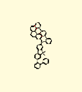 CC1(C)c2cc(-c3ccccc3-c3ccccc3)ccc2-c2ccc(N(c3ccc4c(ccc5ccccc54)c3)c3ccccc3-c3ccc(-c4ccccc4)cc3)cc21